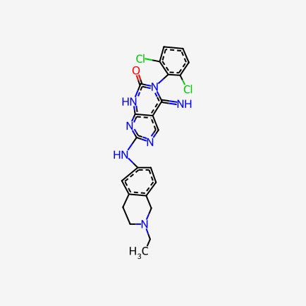 CCN1CCc2cc(Nc3ncc4c(=N)n(-c5c(Cl)cccc5Cl)c(=O)[nH]c4n3)ccc2C1